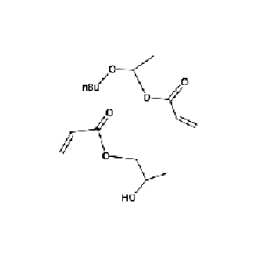 C=CC(=O)OC(C)OCCCC.C=CC(=O)OCC(C)O